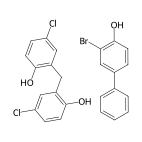 Oc1ccc(-c2ccccc2)cc1Br.Oc1ccc(Cl)cc1Cc1cc(Cl)ccc1O